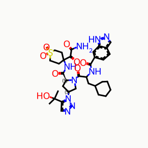 CC(C)(O)c1cnnn1[C@H]1C[C@@H](C(=O)NC2(C(=O)C(N)=O)CCS(=O)(=O)CC2)N(C(=O)C(CC2CCCCC2)NC(=O)c2ccc3cn[nH]c3c2)C1